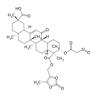 Cc1oc(=O)oc1COC(=O)[C@]1(C)[C@@H](OC(=O)C[S+]=O)CC[C@@]2(C)[C@H]1CC[C@]1(C)[C@@H]2C(=O)C=C2[C@@H]3C[C@@](C)(C(=O)O)CC[C@]3(C)CC[C@]21C